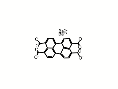 O=C([O-])c1ccc2c3ccc(C(=O)[O-])c4c(C(=O)[O-])ccc(c5ccc(C(=O)[O-])c1c25)c43.[Ba+2].[Ba+2]